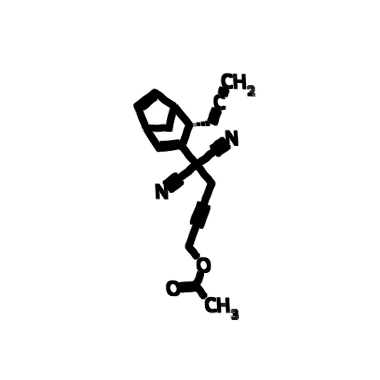 C=C=C[C@@H]1C(C(C#N)(C#N)CC#CCOC(C)=O)=CC2C=CC1C2